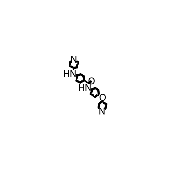 O=C(Nc1ccc(Oc2ccncc2)cc1)c1ccc(Nc2ccncc2)cc1